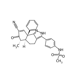 C[C@@H]1C(=O)C(C#N)=C[C@]2(c3ccccc3)c3n[nH]c(-c4ccc(NS(C)(=O)=O)cc4)c3CC[C@@H]12